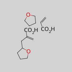 C1CCOC1.C=C(CC1CCCO1)C(=O)O.C=CC(=O)O